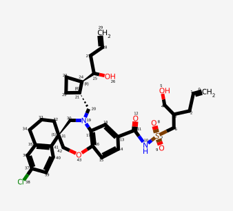 C=CCC(CO)CS(=O)(=O)NC(=O)c1ccc2c(c1)N(C[C@@H]1CC[C@H]1C(O)CC=C)C[C@@]1(CCCc3cc(Cl)ccc31)CO2